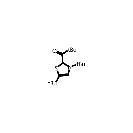 CC(C)(C)C(=O)C1SC(C(C)(C)C)=CN1C(C)(C)C